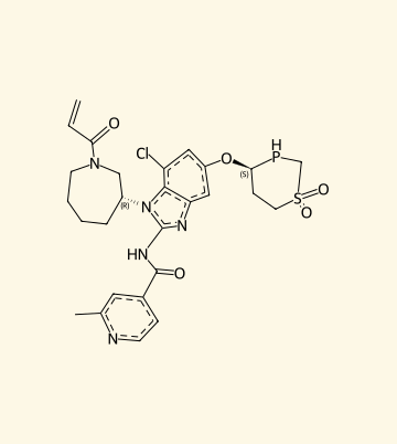 C=CC(=O)N1CCCC[C@@H](n2c(NC(=O)c3ccnc(C)c3)nc3cc(O[C@@H]4CCS(=O)(=O)CP4)cc(Cl)c32)C1